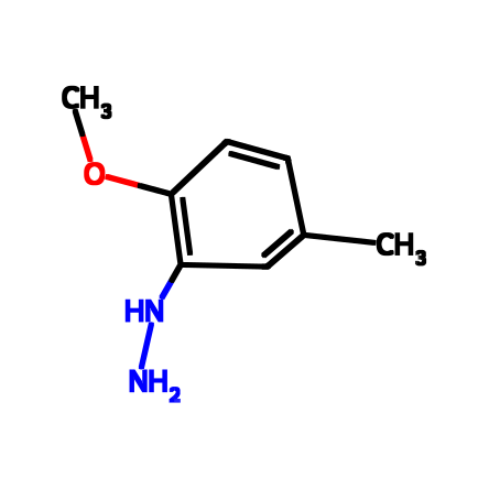 COc1ccc(C)cc1NN